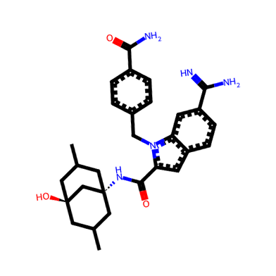 CC1C[C@]2(O)CC(C)C[C@@](NC(=O)c3cc4ccc(C(=N)N)cc4n3Cc3ccc(C(N)=O)cc3)(C1)C2